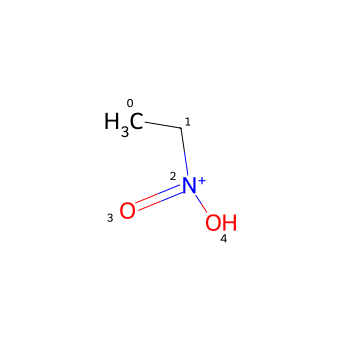 CC[N+](=O)O